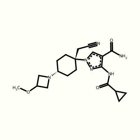 COC1CN([C@H]2CC[C@@](CC#N)(n3cc(C(N)=O)c(NC(=O)C4CC4)n3)CC2)C1